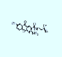 CCN(CC)CCNC(=O)c1cc2c(=O)c3cc(C(C)C)ccc3oc2nc1N